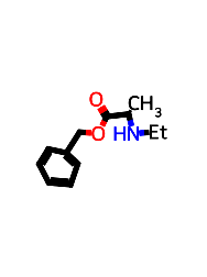 CCN[C@@H](C)C(=O)OCc1ccccc1